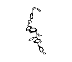 COc1ccc(C2CCN(Cc3ccc4cc(NC(=O)c5ccc(-c6ccc(Cl)cc6)nc5)ccc4c3)CC2)cc1